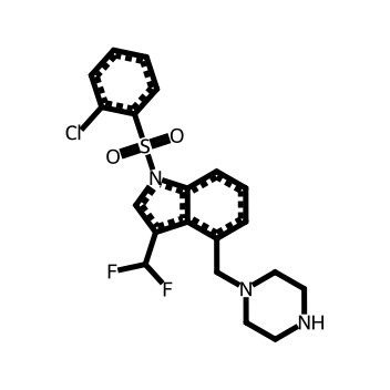 O=S(=O)(c1ccccc1Cl)n1cc(C(F)F)c2c(CN3CCNCC3)cccc21